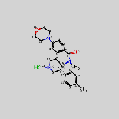 CN(C(=O)c1ccc(N2CCOCC2)cc1)[C@@H]1CCNC[C@H]1c1ccc(C(F)(F)F)cc1.Cl